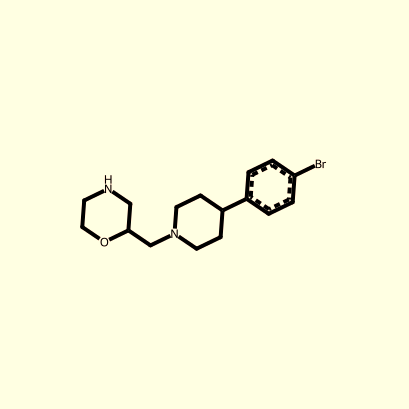 Brc1ccc(C2CCN(CC3CNCCO3)CC2)cc1